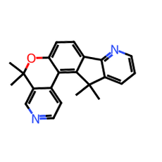 CC1(C)Oc2ccc3c(c2-c2ccncc21)C(C)(C)c1cccnc1-3